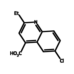 CCc1cc(C(=O)O)c2cc(Cl)ccc2n1